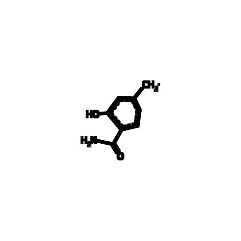 [CH2]c1ccc(C(N)=O)c(O)c1